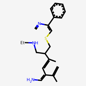 C=N/C(=C\SCC(CNCC)/C(C)=C/C(=C\N)C(=C)C)c1ccccc1